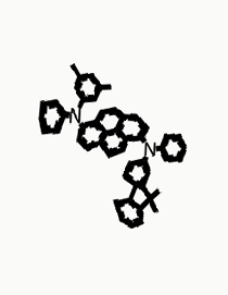 Cc1cc(C)cc(N(c2ccccc2)c2ccc3ccc4c(N(c5ccccc5)c5ccc6c(c5)C(C)(C)c5ccccc5-6)ccc5ccc2c3c54)c1